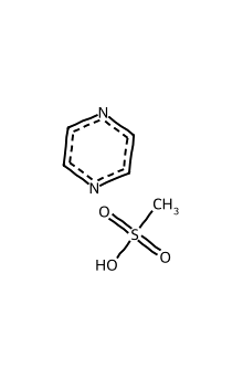 CS(=O)(=O)O.c1cnccn1